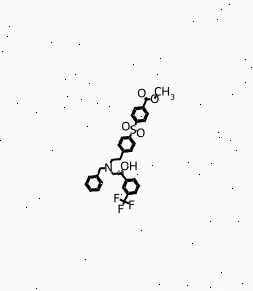 COC(=O)c1ccc(S(=O)(=O)c2ccc(CCN(Cc3ccccc3)C[C@@H](O)c3cccc(C(F)(F)F)c3)cc2)cc1